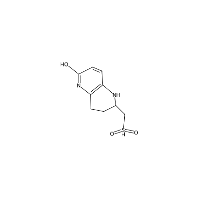 O=[SH](=O)CC1CCc2nc(O)ccc2N1